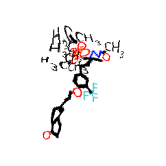 CC1=NC(CCc2ccc(OCCCc3ccc4c(c3)CCC4=O)c(C(F)(F)F)c2)(COP(=O)(OC(C)(C)C)OC(C)(C)C)CO1